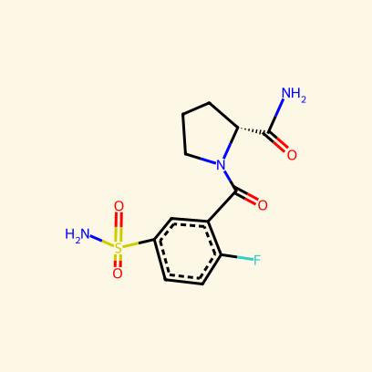 NC(=O)[C@H]1CCCN1C(=O)c1cc(S(N)(=O)=O)ccc1F